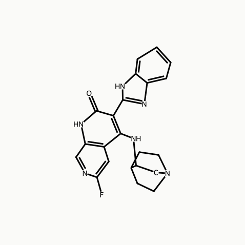 O=c1[nH]c2cnc(F)cc2c(NC2CN3CCC2CC3)c1-c1nc2ccccc2[nH]1